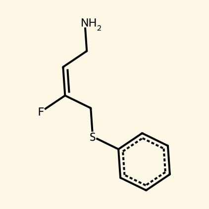 NC/C=C(/F)CSc1ccccc1